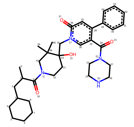 CC(CC1CCCCC1)C(=O)N1CCC(O)(Cn2cc(C(=O)N3CCNCC3)c(-c3ccccc3)cc2=O)C(C)(C)C1